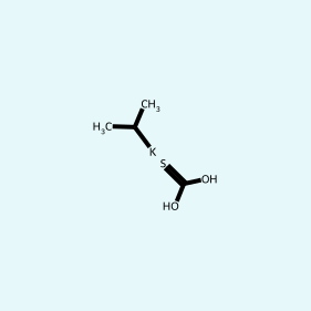 C[CH](C)[K].OC(O)=S